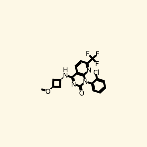 CO[C@H]1C[C@H](Nc2nc(=O)n(-c3ccccc3Cl)c3nc(C(F)(F)F)ccc23)C1